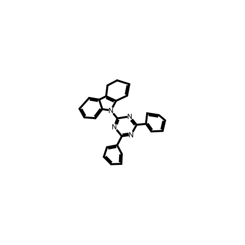 C1=Cc2c(c3ccccc3n2-c2nc(-c3ccccc3)nc(-c3ccccc3)n2)CC1